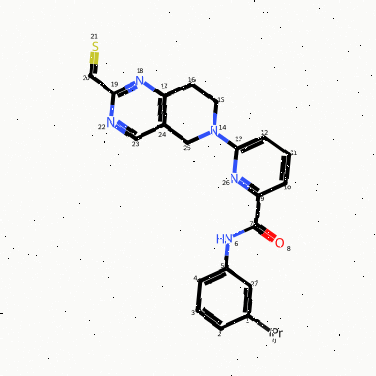 CC(C)c1cccc(NC(=O)c2cccc(N3CCc4nc(C=S)ncc4C3)n2)c1